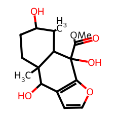 COC(=O)C1(O)c2occc2C(O)C2(C)CCC(O)C(C)C12